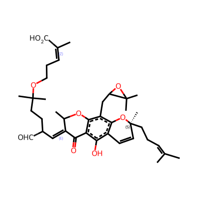 CC(C)=CCC[C@@]1(C)C=Cc2c(O)c3c(c(CC4OC4(C)C)c2O1)OC(C)/C(=C\C(C=O)CCC(C)(C)OCC/C=C(/C)C(=O)O)C3=O